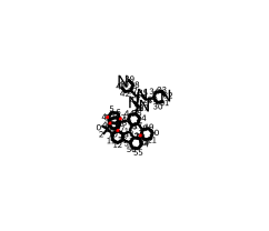 CC1(C)c2ccccc2-c2c1ccc1c2C(c2c(-c3ccccc3)cc(-c3nc(-c4ccncc4)nc(-c4ccncc4)n3)cc2-c2ccccc2)c2ccccc2-1